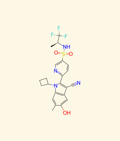 Cc1cc2c(cc1O)c(C#N)c(-c1ccc(S(=O)(=O)N[C@@H](C)C(F)(F)F)cn1)n2C1CCC1